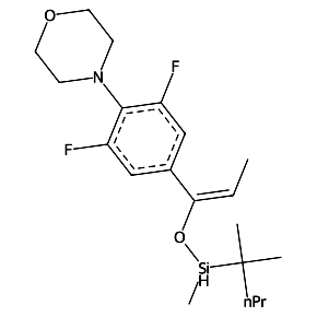 C/C=C(/O[SiH](C)C(C)(C)CCC)c1cc(F)c(N2CCOCC2)c(F)c1